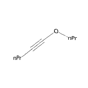 CCCC#COCCC